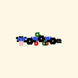 CCc1ccc(C(=O)Nc2cc(Cl)c(NC(=O)c3ccc(C[N+](C)(C)B[N+](C)(C)C)cc3)cc2Cl)cc1